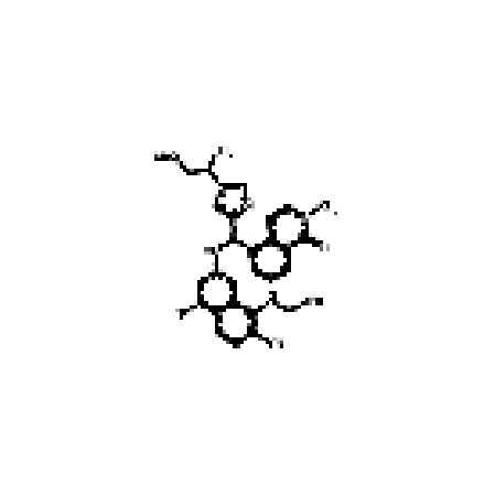 COCC(C)n1cc(C(Nc2cc(Cl)c3ncc(C#N)c(NCC(C)(C)C)c3c2)c2cccc3c(=O)n(C)ccc23)nn1